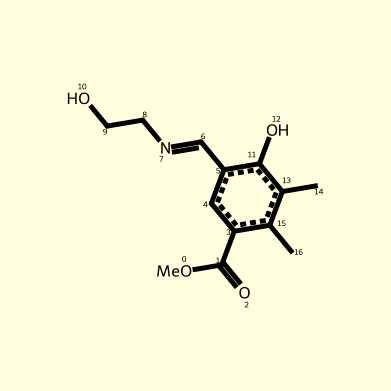 COC(=O)c1cc(/C=N/CCO)c(O)c(C)c1C